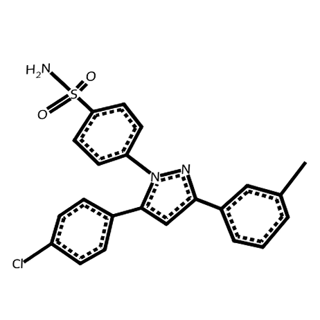 Cc1cccc(-c2cc(-c3ccc(Cl)cc3)n(-c3ccc(S(N)(=O)=O)cc3)n2)c1